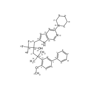 COc1ccc(-c2ccccc2)cc1C(C)(C)CC(O)(Cc1cc2cc(N3CCCCC3)ncc2[nH]1)C(F)(F)F